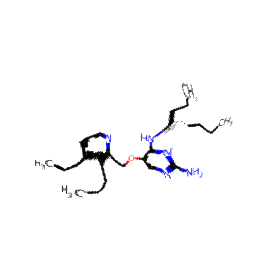 CCCC[C@@H](CCC)Nc1nc(N)ncc1OCc1nccc(CC)c1CC